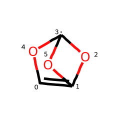 C1=C2O[C](O1)O2